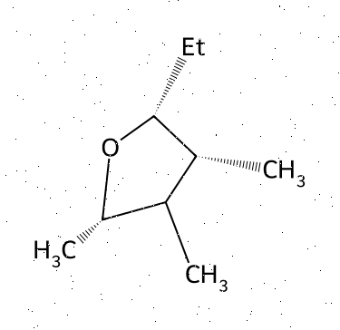 CC[C@H]1O[C@@H](C)C(C)[C@H]1C